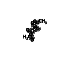 CCOC(=O)c1cn2c(cc1=O)-c1cc(C=O)c(OCC3(C)COC3)cc1CC21CCC1